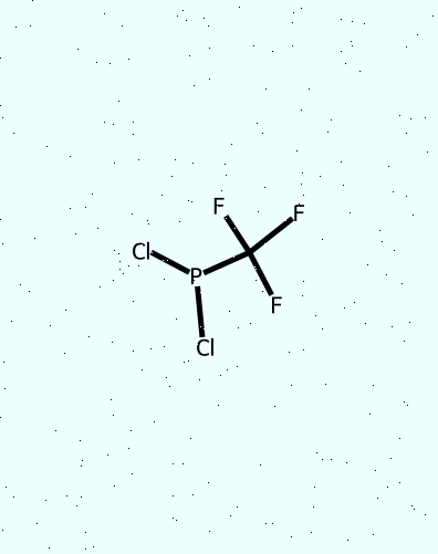 FC(F)(F)P(Cl)Cl